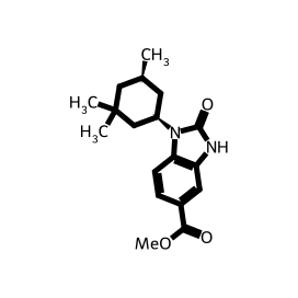 COC(=O)c1ccc2c(c1)[nH]c(=O)n2[C@@H]1C[C@H](C)CC(C)(C)C1